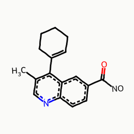 Cc1cnc2ccc(C(=O)N=O)cc2c1C1=CCCCC1